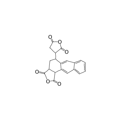 O=C1CC(C2CC3C(=O)OC(=O)C3c3cc4ccccc4cc32)C(=O)O1